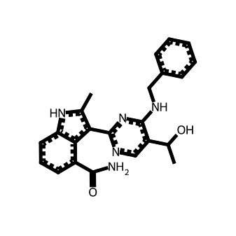 Cc1[nH]c2cccc(C(N)=O)c2c1-c1ncc(C(C)O)c(NCc2ccccc2)n1